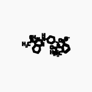 Cc1cccc([N+](=O)[O-])c1N(C[C@H]1CC[C@@H](Nc2nc3c(c(N(C)C)n2)CCCC3)CC1)C(N)=O